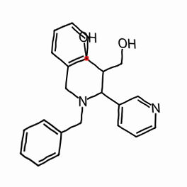 OCC(CO)C(c1cccnc1)N(Cc1ccccc1)Cc1ccccc1